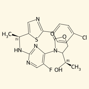 C[C@H](Nc1ncc(F)c(N2C(=O)OCC2[C@@H](C)O)n1)c1cnc(-c2ccc(Cl)cc2)s1